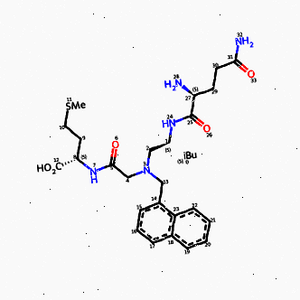 CC[C@H](C)[C@@H](CN(CC(=O)N[C@@H](CCSC)C(=O)O)Cc1cccc2ccccc12)NC(=O)[C@@H](N)CCC(N)=O